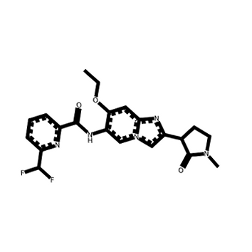 CCOc1cc2nc(C3CCN(C)C3=O)cn2cc1NC(=O)c1cccc(C(F)F)n1